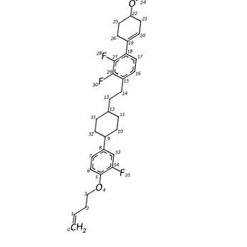 C=CCCOc1ccc(C2CCC(CCc3ccc(C4=CCC(OCC)CC4)c(F)c3F)CC2)cc1F